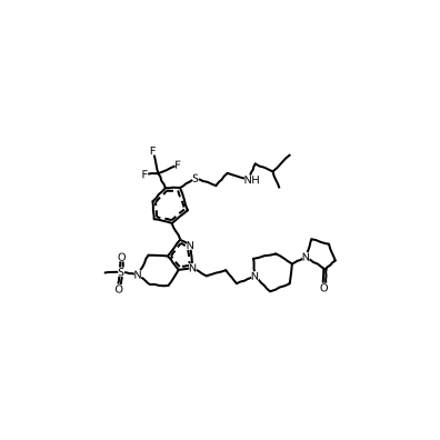 CC(C)CNCCSc1cc(-c2nn(CCCN3CCC(N4CCCC4=O)CC3)c3c2CN(S(C)(=O)=O)CC3)ccc1C(F)(F)F